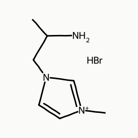 Br.CC(N)Cn1cc[n+](C)c1